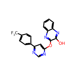 Oc1nc2ccccc2nc1Oc1cc(-c2ccc(C(F)(F)F)cc2)ncn1